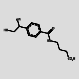 CCCC(CO)c1ccc(C(=O)NCCCC(=O)O)cc1